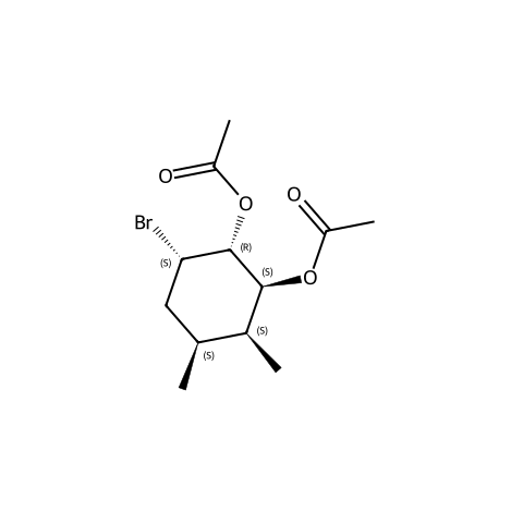 CC(=O)O[C@@H]1[C@@H](OC(C)=O)[C@@H](C)[C@@H](C)C[C@@H]1Br